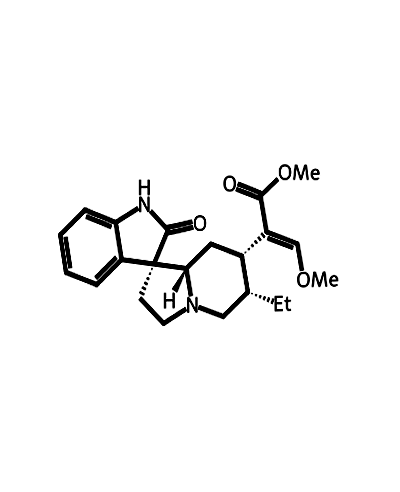 CC[C@@H]1CN2CC[C@]3(C(=O)Nc4ccccc43)[C@@H]2C[C@@H]1/C(=C\OC)C(=O)OC